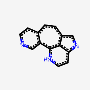 c1cc2ccc3cnc4cc[nH]c(c2cn1)c34